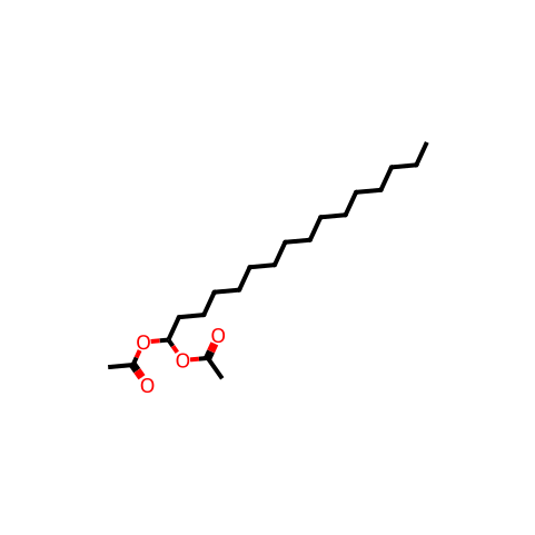 CCCCCCCCCCCCCCCC(OC(C)=O)OC(C)=O